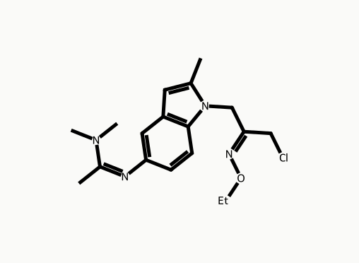 CCON=C(CCl)Cn1c(C)cc2cc(N=C(C)N(C)C)ccc21